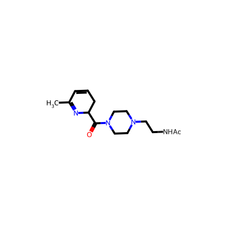 CC(=O)NCCN1CCN(C(=O)C2CC=CC(C)=N2)CC1